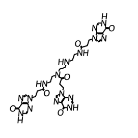 O=C(CCn1cnc2c(=O)[nH]cnc21)NCCNCCN(CCNC(=O)CCn1cnc2c(=O)[nH]cnc21)C(=O)CCn1cnc2c(=O)[nH]cnc21